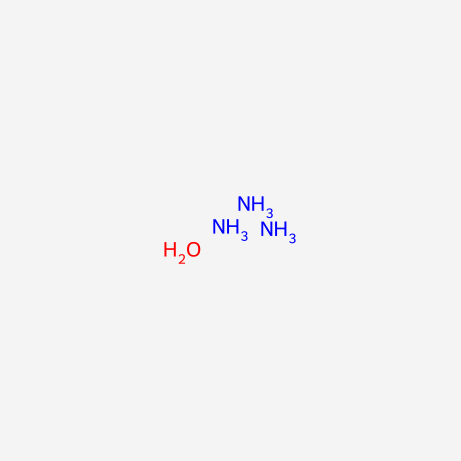 N.N.N.O